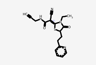 C#CCNC(=O)/C(C#N)=C1\SC(CCc2ccccn2)C(=O)N1CC